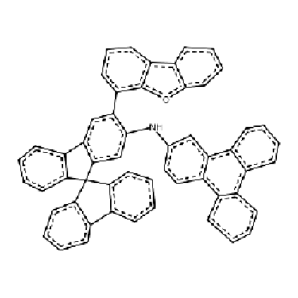 c1ccc2c(c1)-c1ccccc1C21c2ccccc2-c2cc(-c3cccc4c3oc3ccccc34)c(Nc3ccc4c5ccccc5c5ccccc5c4c3)cc21